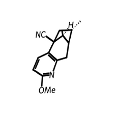 COc1ccc2c(n1)CC1[C@@H](C)CC2(C#N)[C@H]1C